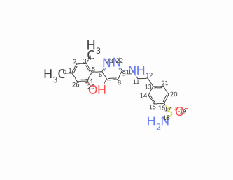 Cc1cc(C)c(-c2ccc(NCCc3ccc([S+](N)[O-])cc3)nn2)c(O)c1